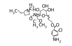 CCC[C@@H]1C[C@@H](C(=O)N[C@@H]([C@H]2O[C@H](SCCOC(=O)c3ccc(N)cc3Cl)[C@H](O)[C@@H](O)[C@H]2O)[C@@H](C)OC)N(C)C1